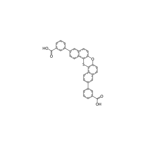 O=C(O)c1cccc(-c2ccc3c4c(ccc3c2)Oc2ccc3cc(-c5cccc(C(=O)O)c5)ccc3c2S4)c1